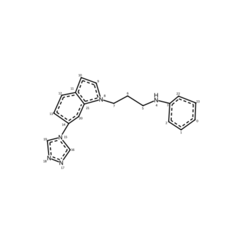 c1ccc(NCCCn2ccc3ccc(-n4cnnc4)cc32)cc1